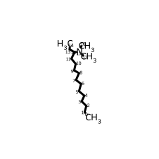 CCCCCCCCCCCCC(CC)N(C)C